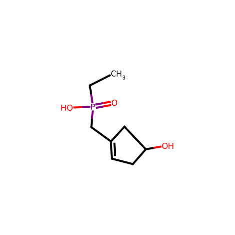 CCP(=O)(O)CC1=CCC(O)C1